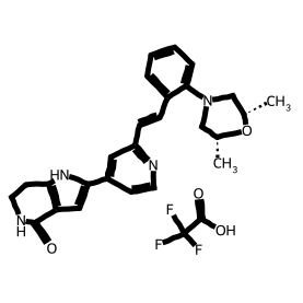 C[C@@H]1CN(c2ccccc2/C=C/c2cc(-c3cc4c([nH]3)CCNC4=O)ccn2)C[C@H](C)O1.O=C(O)C(F)(F)F